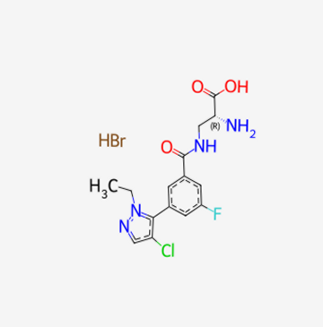 Br.CCn1ncc(Cl)c1-c1cc(F)cc(C(=O)NC[C@@H](N)C(=O)O)c1